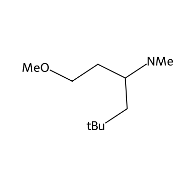 CNC(CCOC)CC(C)(C)C